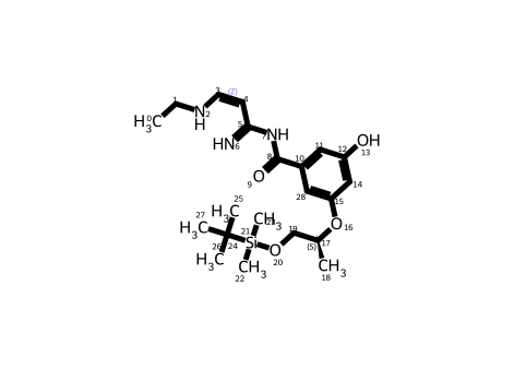 CCN/C=C\C(=N)NC(=O)c1cc(O)cc(O[C@@H](C)CO[Si](C)(C)C(C)(C)C)c1